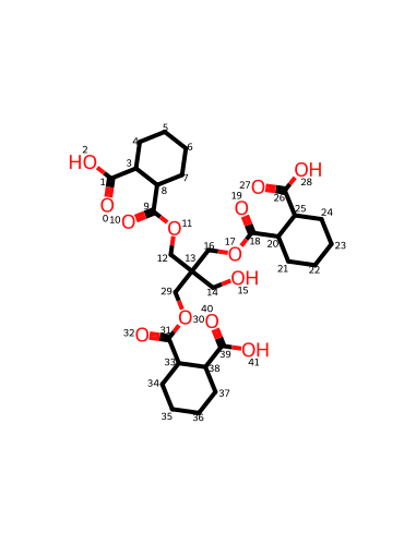 O=C(O)C1CCCCC1C(=O)OCC(CO)(COC(=O)C1CCCCC1C(=O)O)COC(=O)C1CCCCC1C(=O)O